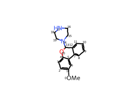 COc1ccc2c(c1)-c1ccccc1C(N1CCNCC1)O2